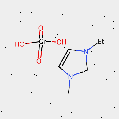 CCN1C=CN(C)C1.[O]=[Cr](=[O])([OH])[OH]